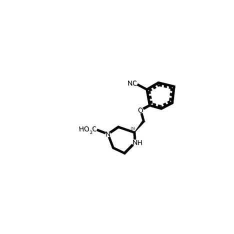 N#Cc1ccccc1OC[C@@H]1CN(C(=O)O)CCN1